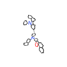 c1ccc(-n2c3cc(-c4ccc(N(c5ccc6ccccc6c5)c5ccc6c(c5)oc5c7ccccc7ccc65)cc4)ccc3c3ccc4ccccc4c32)cc1